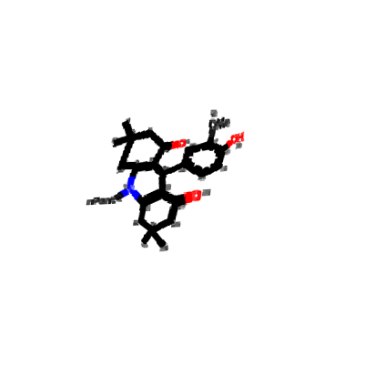 CCCCCN1C2=C(C(=O)CC(C)(C)C2)C(c2ccc(O)c(OC)c2)C2=C1CC(C)(C)CC2=O